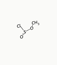 COS(=O)Cl